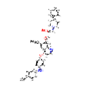 COc1cc2c(Oc3ccc(Nc4ccc(C(C)(C)C)cc4)cc3)ccnc2cc1OCC(O)CN1CCC(c2ccccc2)CC1